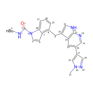 CCCCNC(=O)n1ccc2c(Cc3c[nH]c4ncc(-c5cnn(C)c5)cc34)cccc21